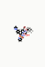 CC(C)(C)ON(CC(=O)O)C1N=C(C(Cc2ccc(-n3cccn3)cc2)NS(=O)(=O)c2ccccn2)C=CC1=C=O